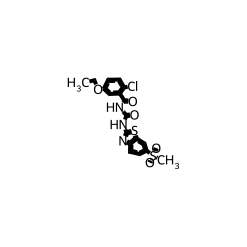 CCOc1ccc(Cl)c(C(=O)NC(=O)Nc2nc3ccc(S(C)(=O)=O)cc3s2)c1